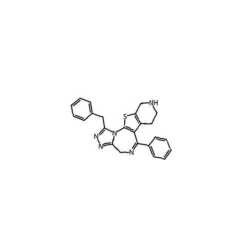 c1ccc(Cc2nnc3n2-c2sc4c(c2C(c2ccccc2)=NC3)CCNC4)cc1